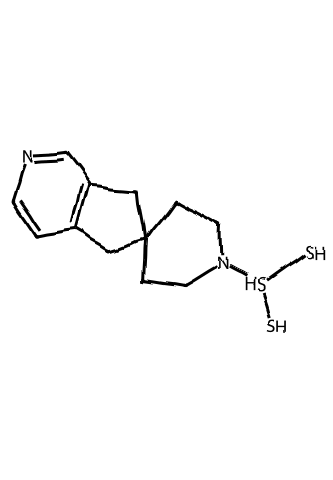 S[SH](S)N1CCC2(CC1)Cc1ccncc1C2